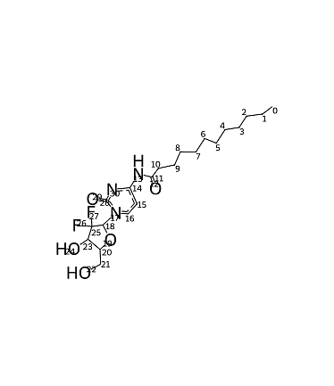 CCCCCCCCCCCC(=O)Nc1ccn(C2OC(CO)C(O)C2(F)F)c(=O)n1